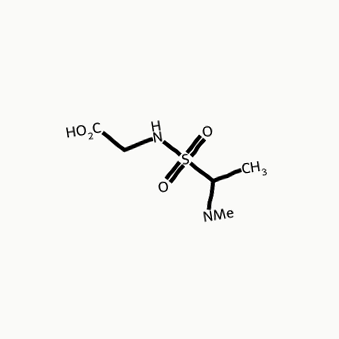 CNC(C)S(=O)(=O)NCC(=O)O